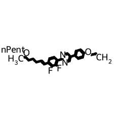 C=CCOc1ccc(-c2cnc(-c3ccc(C=CCCCC(C)OCCCCC)c(F)c3F)nc2)cc1